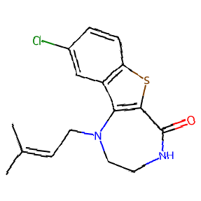 CC(C)=CCN1CCNC(=O)c2sc3ccc(Cl)cc3c21